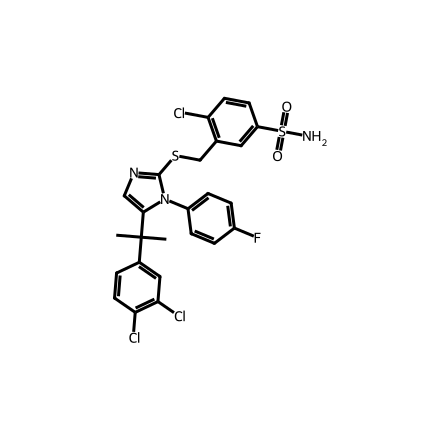 CC(C)(c1ccc(Cl)c(Cl)c1)c1cnc(SCc2cc(S(N)(=O)=O)ccc2Cl)n1-c1ccc(F)cc1